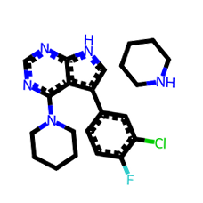 C1CCNCC1.Fc1ccc(-c2c[nH]c3ncnc(N4CCCCC4)c23)cc1Cl